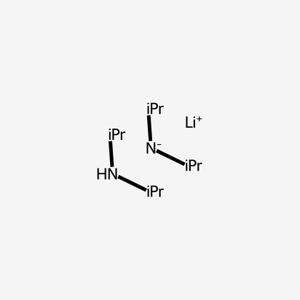 CC(C)NC(C)C.CC(C)[N-]C(C)C.[Li+]